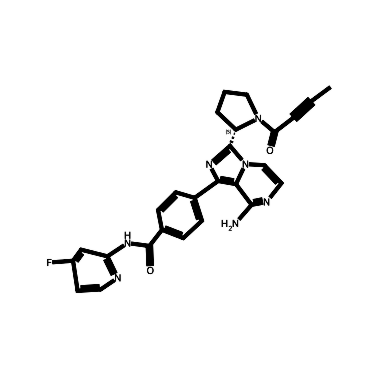 CC#CC(=O)N1CCC[C@H]1c1nc(-c2ccc(C(=O)Nc3cc(F)ccn3)cc2)c2c(N)nccn12